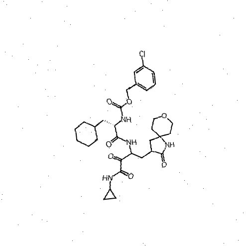 O=C(N[C@@H](CC1CCCCC1)C(=O)NC(CC1CC2(CCOCC2)NC1=O)C(=O)C(=O)NC1CC1)OCc1cccc(Cl)c1